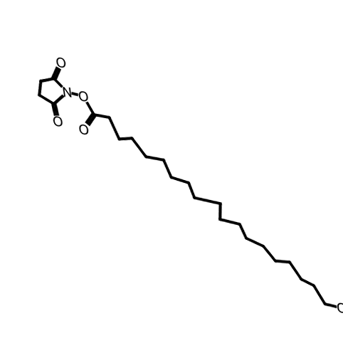 CCCCCCCCCCCCCCCCCCCC(=O)ON1C(=O)CCC1=O